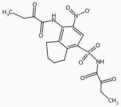 CCC(=O)C(=O)Nc1c([N+](=O)[O-])cc(S(=O)(=O)NC(=O)C(=O)CC)c2c1CCCC2